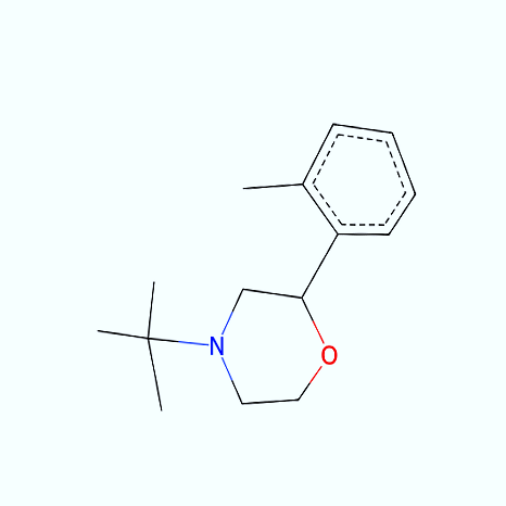 Cc1ccccc1C1CN(C(C)(C)C)CCO1